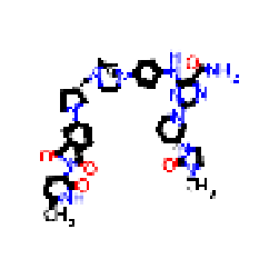 C=C1CCC(N2C(=O)c3ccc(N4CC[C@H](CN5CCN(c6ccc(Nc7nc(N8CCC[C@@H](N9CCN(C)C9=O)C8)cnc7C(N)=O)cc6)CC5)C4)cc3C2=O)C(=O)N1